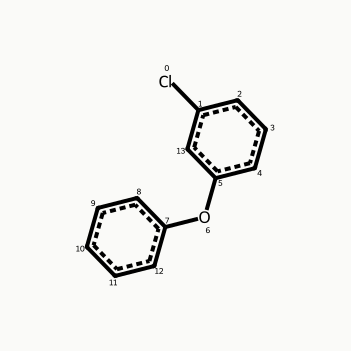 Clc1cccc(Oc2ccccc2)c1